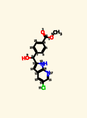 COC(=O)c1ccc(C(O)c2cc3cc(Cl)cnc3[nH]2)cc1